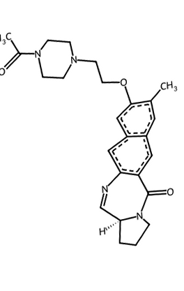 CC(=O)N1CCN(CCOc2cc3cc4c(cc3cc2C)C(=O)N2CCC[C@H]2C=N4)CC1